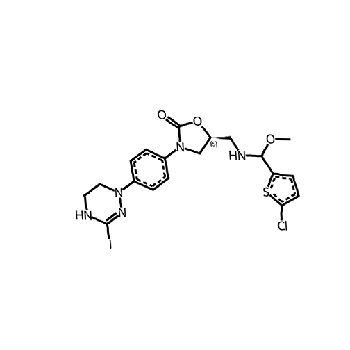 COC(NC[C@H]1CN(c2ccc(N3CCNC(I)=N3)cc2)C(=O)O1)c1ccc(Cl)s1